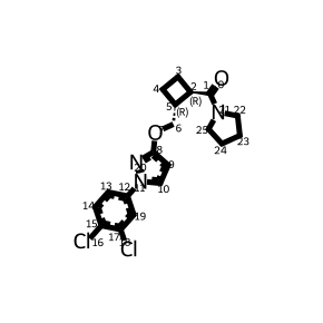 O=C([C@@H]1CC[C@H]1COc1ccn(-c2ccc(Cl)c(Cl)c2)n1)N1CCCC1